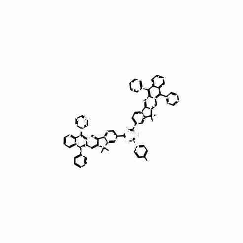 Cc1ccc(-c2nc(-c3ccc4c(c3)C(C)(C)c3cc5c(-c6ccccc6)c6ccccc6c(-c6ccccc6)c5cc3-4)nc(-c3ccc4c(c3)C(C)(C)c3cc5c(-c6ccccc6)c6ccccc6c(-c6ccccc6)c5cc3-4)n2)cc1